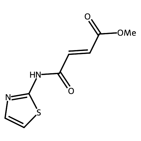 COC(=O)/C=C/C(=O)Nc1nccs1